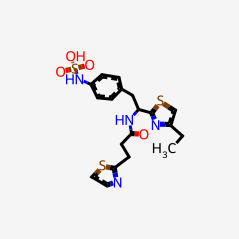 CCc1csc(C(Cc2ccc(NS(=O)(=O)O)cc2)NC(=O)CCc2nccs2)n1